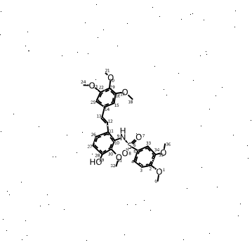 COc1ccc(S(=O)(=O)Nc2c(C=Cc3cc(OC)c(OC)c(OC)c3)ccc(O)c2OC)cc1OC